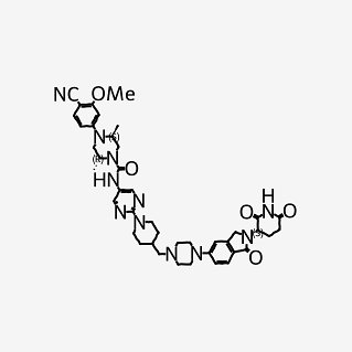 COc1cc(N2C[C@@H](C)N(C(=O)Nc3cnc(N4CCC(CN5CCN(c6ccc7c(c6)CN([C@H]6CCC(=O)NC6=O)C7=O)CC5)CC4)nc3)C[C@@H]2C)ccc1C#N